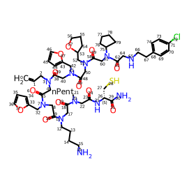 C=CCN(CC(=O)N(CC(=O)N(CCCCN)CC(=O)N(CCCCC)CC(=O)N[C@H](CS)C(N)=O)Cc1ccco1)C(=O)CN(Cc1ccco1)C(=O)CN(CC1CCCO1)C(=O)CN(C(=O)CNCCc1ccc(Cl)cc1)C1CCCC1